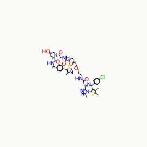 Cc1ncsc1-c1ccc([C@H](C)NC(=O)[C@@H]2C[C@@H](O)CN2C(=O)CNC(=O)[C@@H]2CC[C@H](COCCCNC(=O)C[C@@H]3N=C(c4ccc(Cl)cc4)c4c(sc(C)c4C)-n4c(C)nnc43)O2)cc1